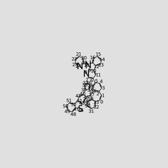 C1=Cc2ccc(-c3cnc4c(c3)c3ccccc3n4-c3ccccn3)cc2C2(c3ccccc31)c1ccccc1-c1cc3c(cc12)sc1ccccc13